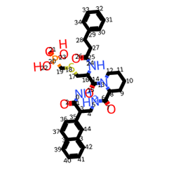 NC(=O)C(CNC(=O)C1CCCCN1C(=O)C(CSCP(=O)(O)O)NC(=O)CCc1ccccc1)c1ccc2ccccc2c1